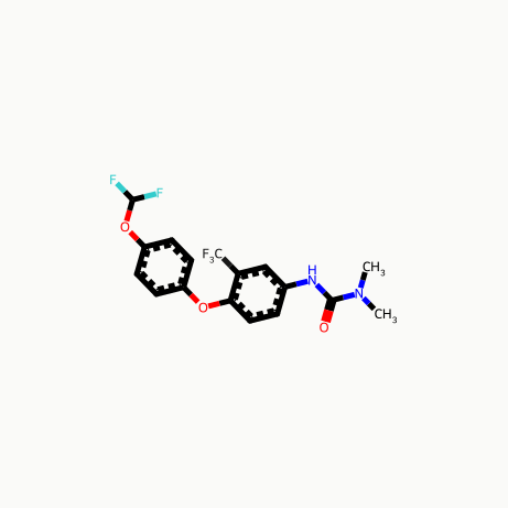 CN(C)C(=O)Nc1ccc(Oc2ccc(OC(F)F)cc2)c(C(F)(F)F)c1